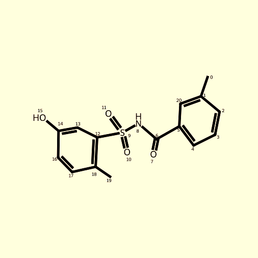 Cc1cccc(C(=O)NS(=O)(=O)c2cc(O)ccc2C)c1